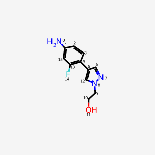 Nc1ccc(-c2cnn(CCO)c2)c(F)c1